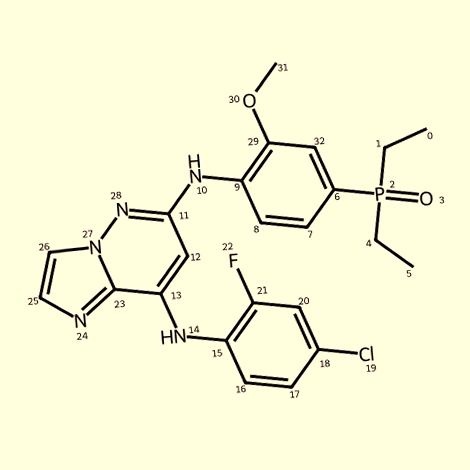 CCP(=O)(CC)c1ccc(Nc2cc(Nc3ccc(Cl)cc3F)c3nccn3n2)c(OC)c1